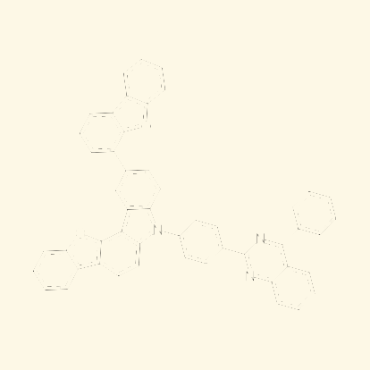 c1ccc(-c2nc(-c3ccc(-n4c5ccc(-c6cccc7c6oc6ccccc67)cc5c5c6oc7ccccc7c6ccc54)cc3)nc3ccccc23)cc1